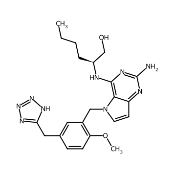 CCCC[C@@H](CO)Nc1nc(N)nc2ccn(Cc3cc(Cc4nnn[nH]4)ccc3OC)c12